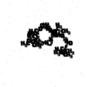 CCn1c(-c2cccnc2[C@H](C)OC)c2c3cc(ccc31)N1CCC[C@@H](C[C@H](NC(=O)C(COC3CN(C(=O)C#CC(C)(C)N(C)C)C3)C(C)C)C(=O)N3CCC[C@H](N3)C(=O)OCC(C)(C)C2)C1